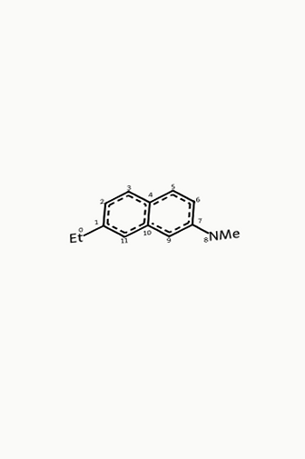 CCc1ccc2ccc(NC)cc2c1